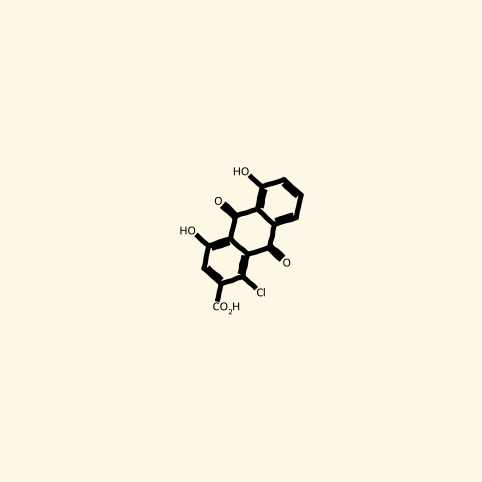 O=C(O)c1cc(O)c2c(c1Cl)C(=O)c1cccc(O)c1C2=O